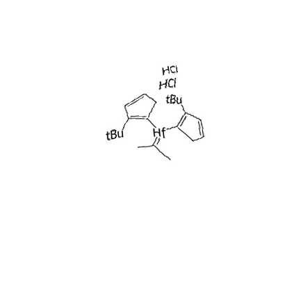 C[C](C)=[Hf]([C]1=C(C(C)(C)C)C=CC1)[C]1=C(C(C)(C)C)C=CC1.Cl.Cl